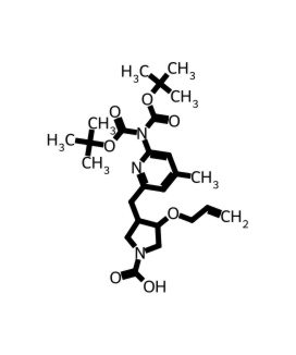 C=CCOC1CN(C(=O)O)CC1Cc1cc(C)cc(N(C(=O)OC(C)(C)C)C(=O)OC(C)(C)C)n1